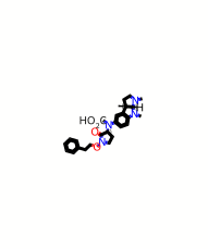 CN1CC[C@@]2(C)c3cc(N(C(=O)O)[C@H]4CCN(OCCc5ccccc5)C4=O)ccc3N(C)[C@@H]12